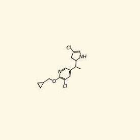 CC(c1cnc(OCC2CC2)c(Cl)c1)C1CC(Cl)=CN1